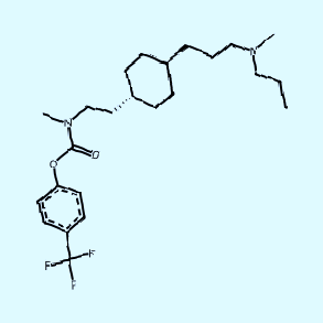 CCCN(C)CCC[C@H]1CC[C@H](CCN(C)C(=O)Oc2ccc(C(F)(F)F)cc2)CC1